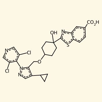 O=C(O)c1ccc2sc(C3(O)CCC(OCc4c(C5CC5)cnn4-c4c(Cl)cncc4Cl)CC3)nc2c1